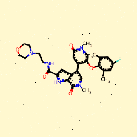 Cc1cc(F)cc(C)c1Oc1cn(C)c(=O)cc1-c1cn(C)c(=O)c2[nH]c(C(=O)NCCN3CCOCC3)cc12